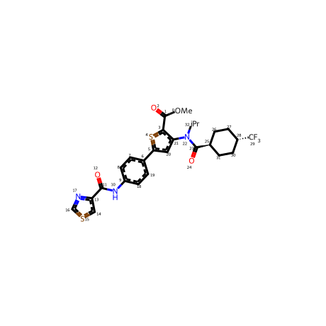 COC(=O)c1sc(-c2ccc(NC(=O)c3cscn3)cc2)cc1N(C(=O)[C@H]1CC[C@H](C(F)(F)F)CC1)C(C)C